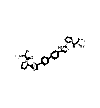 C=C([C@@H](N)C(C)C)N1CCC[C@H]1c1ncc(-c2ccc(-c3ccc(-c4cnc(C5CCCN5C(=O)[C@@H](N)C(C)C)[nH]4)cc3)cc2)[nH]1